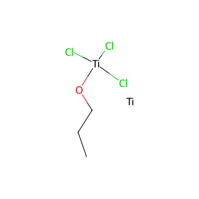 CCC[O][Ti]([Cl])([Cl])[Cl].[Ti]